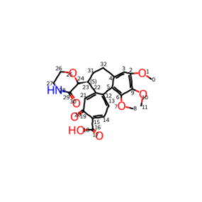 COc1cc2c(c(OC)c1OC)-c1ccc(C(=O)O)c(=O)cc1[C@@H](C1OCCNC1=O)CC2